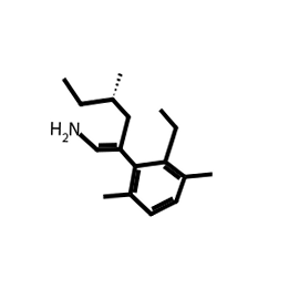 CCc1c(C)ccc(C)c1/C(=C/N)C[C@@H](C)CC